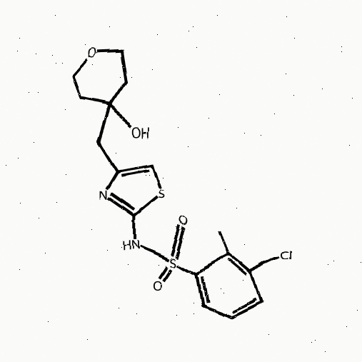 Cc1c(Cl)cccc1S(=O)(=O)Nc1nc(CC2(O)CCOCC2)cs1